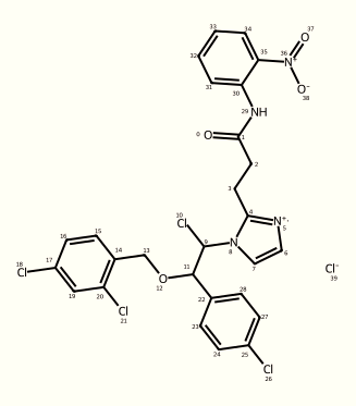 O=C(CCC1=[N+]C=CN1C(Cl)C(OCc1ccc(Cl)cc1Cl)c1ccc(Cl)cc1)Nc1ccccc1[N+](=O)[O-].[Cl-]